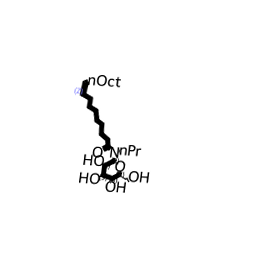 CCCCCCCC/C=C\CCCCCCCC(=O)N(CCC)[C@@H]1O[C@H](CO)[C@@H](O)[C@H](O)[C@H]1O